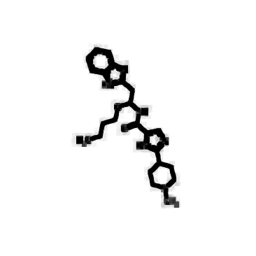 CCCCOC(Cc1nc2ccccc2[nH]1)NC(=O)c1cnc(C2CCN(C)CC2)[nH]1